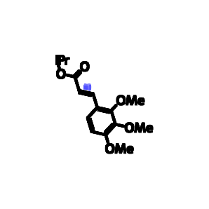 COc1ccc(/C=C/C(=O)OC(C)C)c(OC)c1OC